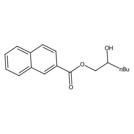 CCCCC(O)COC(=O)c1ccc2ccccc2c1